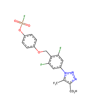 O=C(O)c1nnn(-c2cc(F)c(COc3ccc(OS(=O)(=O)F)cc3)c(F)c2)c1C(F)(F)F